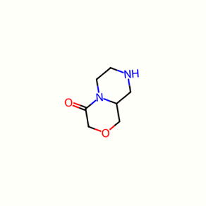 O=C1COCC2CNCCN12